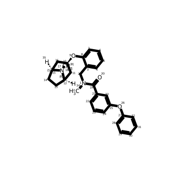 CN(Cc1ccccc1O[C@H]1C[C@H]2CC[C@@H](C1)N2C)C(=O)c1cccc(Oc2ccccc2)c1